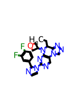 CCC1c2nncn2-c2cnc(-n3ccnc3-c3ccc(F)c(F)c3)nc2N1C1COC1